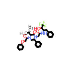 CC(C)C1C(=O)N(CC(=O)NC(Cc2ccccc2)C(O)C(F)(F)F)C(c2ccccc2)=CN1C(=O)COc1ccccc1